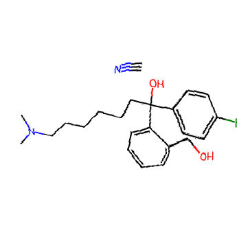 C#N.CN(C)CCCCCCC(O)(c1ccc(F)cc1)c1ccccc1CO